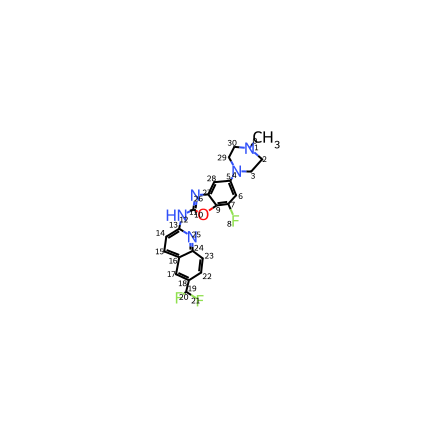 CN1CCN(c2cc(F)c3oc(Nc4ccc5cc(C(F)F)ccc5n4)nc3c2)CC1